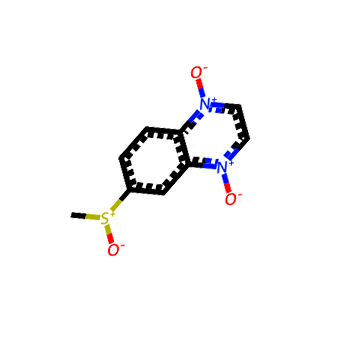 C[S+]([O-])c1ccc2c(c1)[n+]([O-])cc[n+]2[O-]